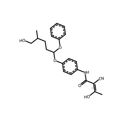 C/C(O)=C(\C#N)C(=O)Nc1ccc(OC(CCC(C)CO)Oc2ccccc2)cc1